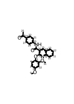 COc1ccc(Oc2nc3ccccc3cc2C(=O)Nc2ccc(C(C)=O)cc2)c(OC)c1